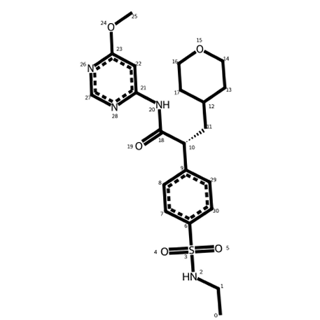 CCNS(=O)(=O)c1ccc([C@@H](CC2CCOCC2)C(=O)Nc2cc(OC)ncn2)cc1